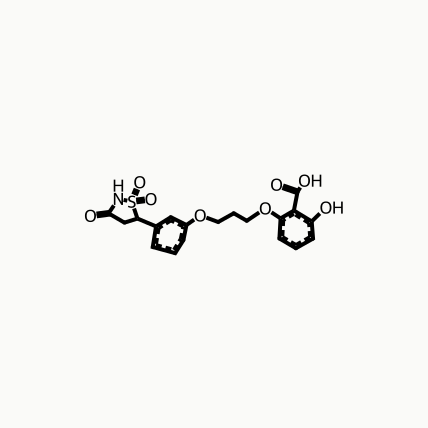 O=C1CC(c2cccc(OCCCOc3cccc(O)c3C(=O)O)c2)S(=O)(=O)N1